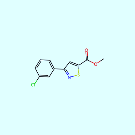 COC(=O)c1cc(-c2cccc(Cl)c2)ns1